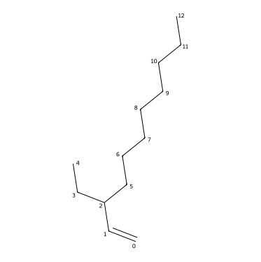 C=CC(CC)CCCCCCCC